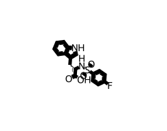 O=C(O)[C@H](Cc1c[nH]c2ccccc12)NS(=O)(=O)c1ccc(F)cc1